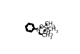 CCN(O[Si](C)(C)C)c1ccccc1